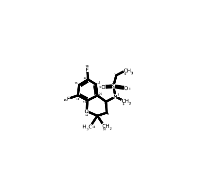 CCS(=O)(=O)N(C)C1CC(C)(C)Oc2c(F)cc(F)cc21